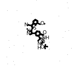 COCc1cccc2c(C#N)c(-c3c(-c4ccc5c(=O)[nH]nc(CNC(=O)OC(C)(C)C)c5c4)cnn3C)sc12